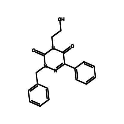 O=c1c(-c2ccccc2)nn(Cc2ccccc2)c(=O)n1CCO